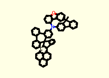 CC1(C)c2ccccc2-c2ccc(N(c3ccc4c(c3)-c3ccccc3-c3ccccc3C43c4ccccc4-c4c3cc3ccc5cccc6ccc4c3c56)c3cccc4oc5ccccc5c34)cc21